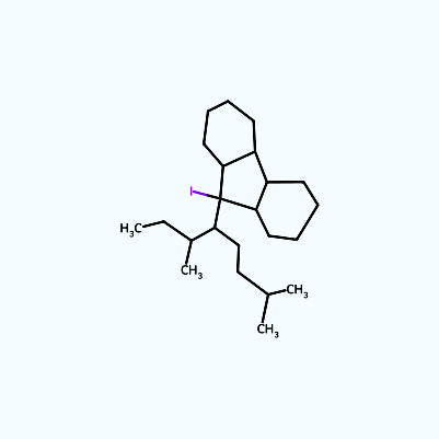 CCC(C)C(CCC(C)C)C1(I)C2CCCCC2C2CCCCC21